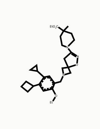 CCOC(=O)C1(C)CCN(C2=NOC3(C2)CN(Cc2cc(C4CC4)c(C4CCC4)cc2OCC)C3)CC1